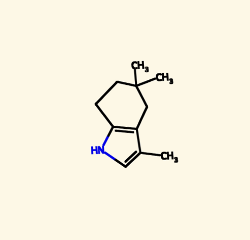 Cc1c[nH]c2c1CC(C)(C)CC2